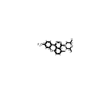 Cc1cccc2c(-c3ccc(C(F)(F)F)cc3O)nnc(N3CC(C)OC(C)C3)c12